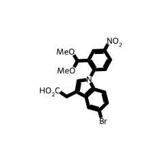 COC(OC)c1cc([N+](=O)[O-])ccc1-n1cc(CC(=O)O)c2cc(Br)ccc21